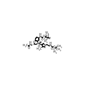 CC(=O)NC[C@H]1CN(S(=O)(=O)c2cn(CCNC(=O)OC(C)(C)C)nc2C)c2cc(NC(=O)OC(C)(C)C(F)(F)F)ccc2O1